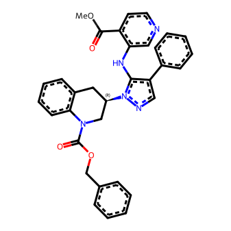 COC(=O)c1ccncc1Nc1c(-c2ccccc2)cnn1[C@@H]1Cc2ccccc2N(C(=O)OCc2ccccc2)C1